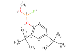 COP(F)Oc1ccc(C(C)(C)C)cc1C(C)(C)C